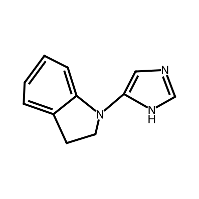 c1ccc2c(c1)CCN2c1cnc[nH]1